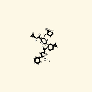 Cn1nc(C(=O)N2CCC3(CC3)C[C@H]2C(=O)N[C@@H](C[C@@H]2CCNC2=O)C(O)C(=O)NC2CC2)cc1-c1ccccc1